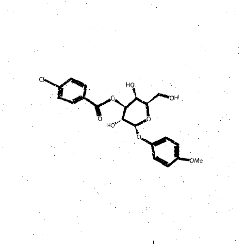 COc1ccc(O[C@@H]2O[C@H](CO)[C@H](O)[C@H](OC(=O)c3ccc(Cl)cc3)[C@H]2O)cc1